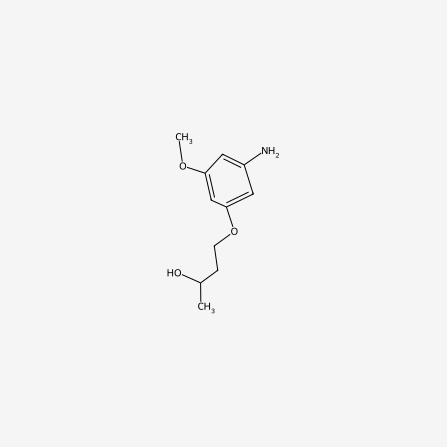 COc1cc(N)cc(OCCC(C)O)c1